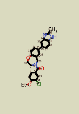 CCOc1ccc(C(=O)N2CCOc3ccc(-c4ccc5[nH]c(C)nc5c4)cc3C2)cc1Cl